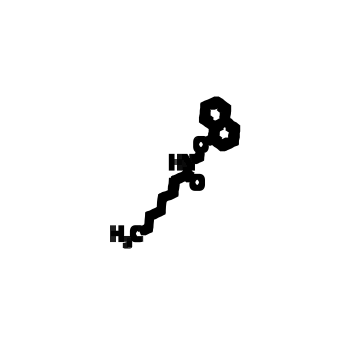 CCCCCC=CC(=O)NCOc1cccc2ccccc12